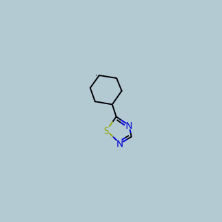 [CH]1CCC(c2ncns2)CC1